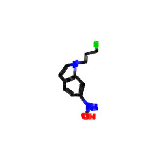 ONc1ccc2ccn(CCCCl)c2c1